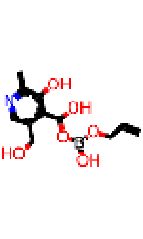 C=CCOB(O)OC(O)c1c(CO)cnc(C)c1O